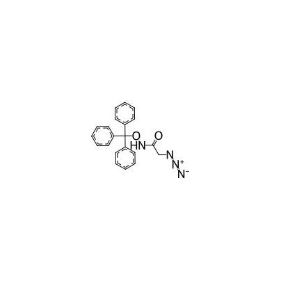 [N-]=[N+]=NCC(=O)NOC(c1ccccc1)(c1ccccc1)c1ccccc1